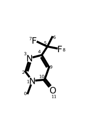 Cn1cnc(C(C)(F)F)cc1=O